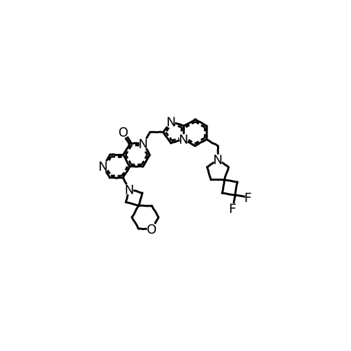 O=c1c2cncc(N3CC4(CCOCC4)C3)c2ccn1Cc1cn2cc(CN3CCC4(C3)CC(F)(F)C4)ccc2n1